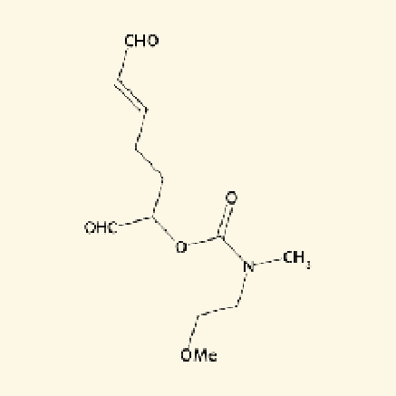 COCCN(C)C(=O)OC(C=O)CCC=CC=O